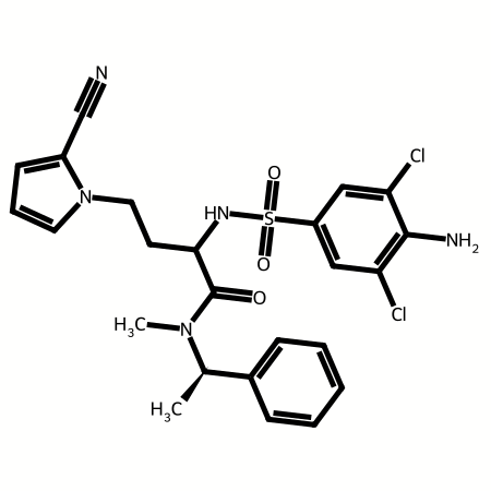 C[C@H](c1ccccc1)N(C)C(=O)C(CCn1cccc1C#N)NS(=O)(=O)c1cc(Cl)c(N)c(Cl)c1